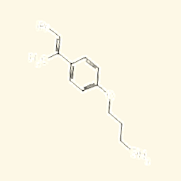 C/C(=C\C(C)C)c1ccc(OCCC[SiH3])cc1